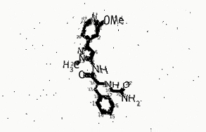 COc1cc(-c2cc(NC(=O)[C@H](Cc3ccccc3)NCC(N)=O)n(C)n2)ccn1